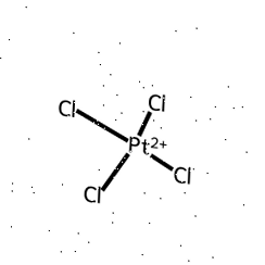 [Cl][Pt+2]([Cl])([Cl])[Cl]